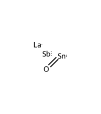 [La].[O]=[Sn].[Sb]